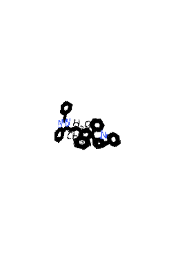 CC1=C(/C=C(\C)c2nc(-c3ccccc3)nc3ccccc23)c2ccccc2C12c1ccccc1-n1c3ccccc3c3cccc2c31